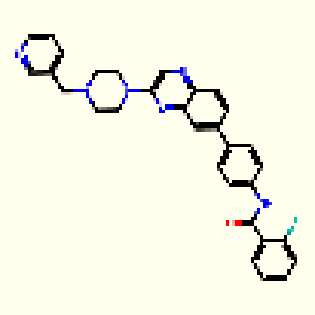 O=C(Nc1ccc(-c2ccc3ncc(N4CCN(Cc5cccnc5)CC4)nc3c2)cc1)c1ccccc1F